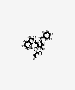 C=CC(=O)Oc1c(C)nn(Cc2ccccc2)c1-n1ccc2cccnc21